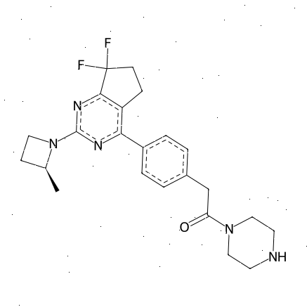 C[C@H]1CCN1c1nc(-c2ccc(CC(=O)N3CCNCC3)cc2)c2c(n1)C(F)(F)CC2